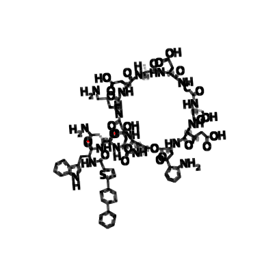 C[C@H](CC(=O)O)[C@@H]1NC(=O)[C@@H](CO)NC(=O)CNC(=O)[C@H](CC(=O)O)NC(=O)[C@@H](C)NC(=O)[C@H](CC(=O)O)NC(=O)[C@H](CCCN)NC(=O)CNC(=O)[C@@H](NC(=O)[C@H](CC(=O)O)NC(=O)[C@@H](CC(N)=O)NC(=O)C(Cc2c[nH]c3ccccc23)NC(=O)c2ccc(-c3ccc(-c4ccccc4)cc3)s2)[C@@H](C)OC(=O)[C@H](CC(=O)c2ccccc2N)NC1=O